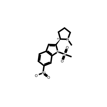 CN1CCC[C@@H]1c1cc2ccc([N+](=O)[O-])cc2n1S(C)(=O)=O